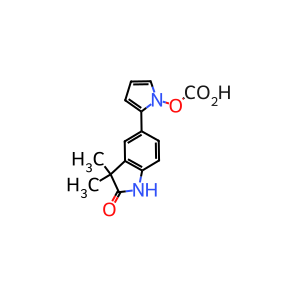 CC1(C)C(=O)Nc2ccc(-c3cccn3OC(=O)O)cc21